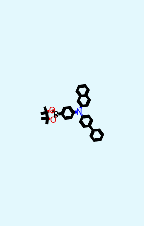 CC1(C)OB(c2ccc(N(c3ccc(-c4ccccc4)cc3)c3ccc4ccccc4c3)cc2)OC1(C)C